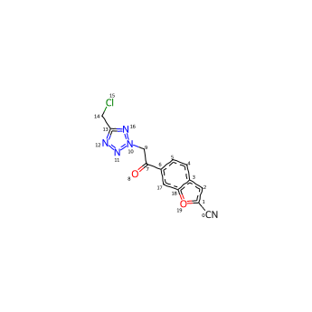 N#Cc1cc2ccc(C(=O)Cn3nnc(CCl)n3)cc2o1